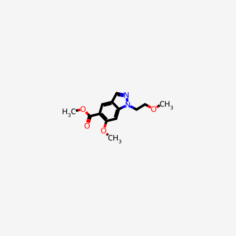 COCCn1ncc2cc(C(=O)OC)c(OC)cc21